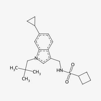 CC(C)(C)Cn1cc(CNS(=O)(=O)C2CCC2)c2ccc(C3CC3)cc21